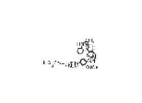 COc1cc(N2CCN(CCCCC(=O)O)CC2)ccc1Nc1ncc(Cl)c(Nc2ccccc2N[S+](C)[O-])n1